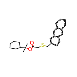 CC(C)(OC(=O)CSCc1ccc2cc3ccccc3cc2c1)C1CCCCC1